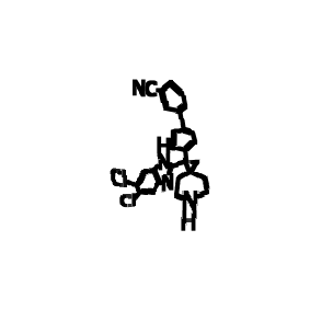 N#Cc1cccc(-c2ccc(C3(c4nc5cc(Cl)c(Cl)cc5[nH]4)CC34CCNCC4)cc2)c1